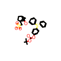 CC(C)(C)OC(=O)Oc1ccc([S+](c2ccccc2)c2ccccc2)cc1.CC1(C)C2CCC1(CS(=O)(=O)[O-])C(=O)C2